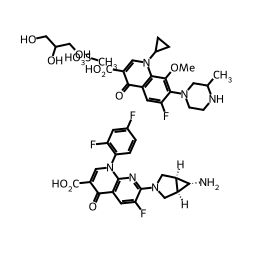 COc1c(N2CCNC(C)C2)c(F)cc2c(=O)c(C(=O)O)cn(C3CC3)c12.CS(=O)(=O)O.N[C@@H]1[C@H]2CN(c3nc4c(cc3F)c(=O)c(C(=O)O)cn4-c3ccc(F)cc3F)C[C@@H]12.OCC(O)CO